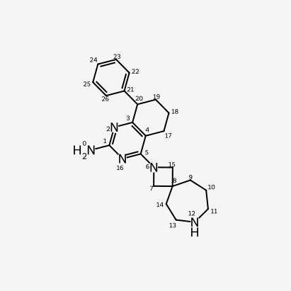 Nc1nc2c(c(N3CC4(CCCNCC4)C3)n1)CCCC2c1ccccc1